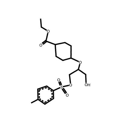 CCOC(=O)C1CCC(OC(CO)COS(=O)(=O)c2ccc(C)cc2)CC1